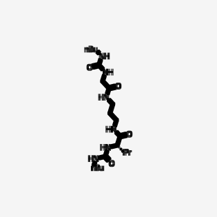 CCCCNC(=O)NCC(=O)NCCCNC(=O)[C@@H](NC(=O)NCCCC)C(C)C